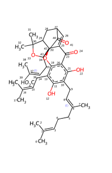 CC(C)=CCC/C(C)=C/Cc1c(O)c(CC=C(C)C)c2c(c1O)C(=O)C1=CC3CC4C(C)(C)OC(C/C=C(\C)C(=O)O)(C3=O)[C@@]14O2